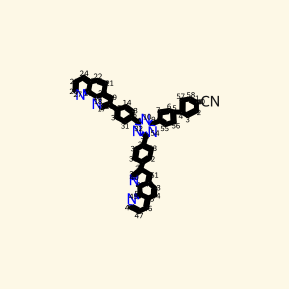 N#Cc1ccc(-c2ccc(-c3nc(-c4ccc(-c5cnc6c(ccc7cccnc76)c5)cc4)nc(-c4ccc(-c5cnc6c(ccc7cccnc76)c5)cc4)n3)cc2)cc1